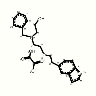 O=C(O)C(=O)O.OCCN(CCOCCc1ccc2sccc2c1)Cc1ccccc1